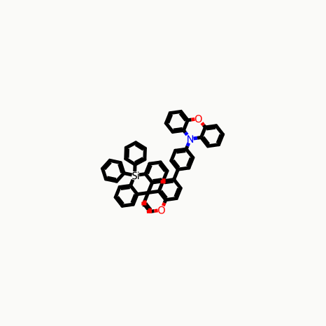 c1ccc([Si]2(c3ccccc3)c3ccccc3C3(c4ccccc4Oc4ccc(-c5ccc(N6c7ccccc7Oc7ccccc76)cc5)cc43)c3ccccc32)cc1